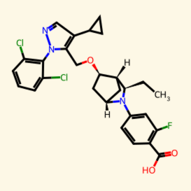 CC[C@@H]1[C@@H]2C[C@@H](C[C@H]2OCc2c(C3CC3)cnn2-c2c(Cl)cccc2Cl)N1c1ccc(C(=O)O)c(F)c1